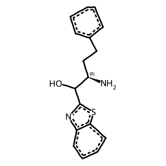 N[C@H](CCc1ccccc1)C(O)c1nc2ccccc2s1